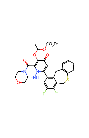 CCOC(=O)OC(C)Oc1c2n(c(-c3cc(F)c(F)c4c3CC3=C(CCC=C3)SC4)cc1=O)NC1COCCN1C2=O